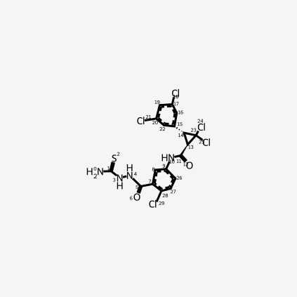 NC(=S)NNC(=O)c1cc(NC(=O)[C@H]2[C@H](c3cc(Cl)cc(Cl)c3)C2(Cl)Cl)ccc1Cl